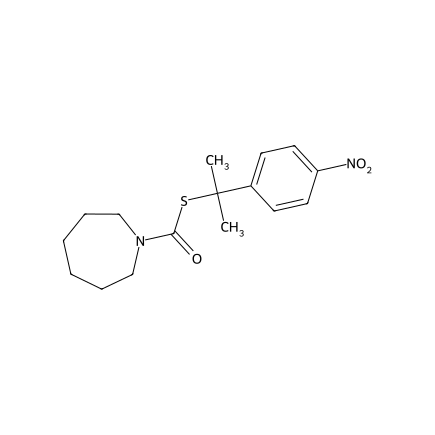 CC(C)(SC(=O)N1CCCCCC1)c1ccc([N+](=O)[O-])cc1